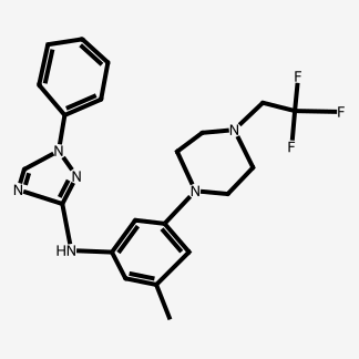 Cc1cc(Nc2ncn(-c3ccccc3)n2)cc(N2CCN(CC(F)(F)F)CC2)c1